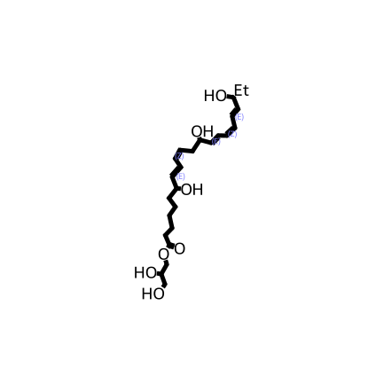 CCC(O)/C=C/C=C\C=C\C(O)C/C=C\C=C\C(O)CCCCCC(=O)OCC(O)CO